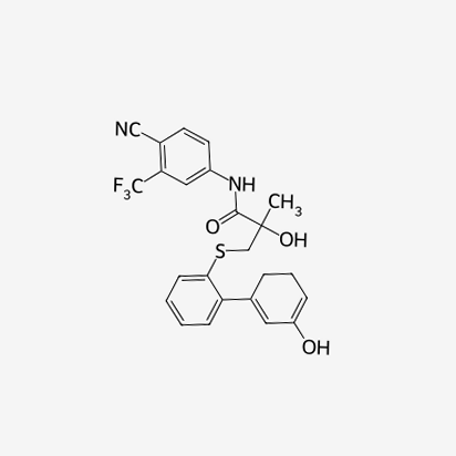 CC(O)(CSc1ccccc1C1=CC(O)=CCC1)C(=O)Nc1ccc(C#N)c(C(F)(F)F)c1